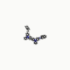 C(=Cc1ccc2ccccc2c1)c1ccc(N(c2ccccc2)c2ccc(-c3ccc(N(c4ccccc4)c4ccc(/C=C/c5ccc6ccccc6c5)cc4)cc3)cc2)cc1